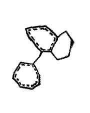 c1ccc(-c2cccc3c2CCCC3)cc1